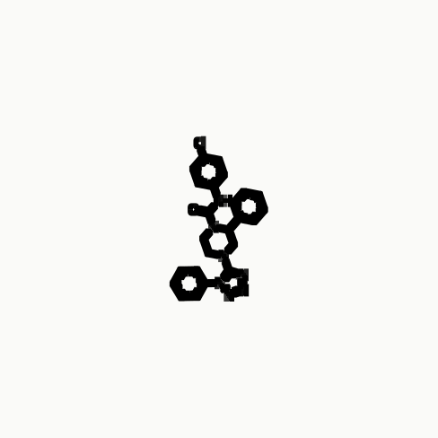 O=C(Nc1ccc(Cl)cc1)N1CCN(c2nnnn2-c2ccccc2)CC1c1ccccc1